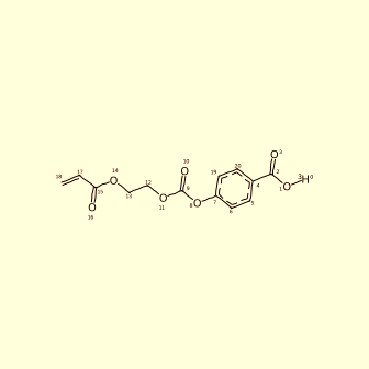 [3H]OC(=O)c1ccc(OC(=O)OCCOC(=O)C=C)cc1